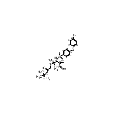 CC(C)(C)OC(=O)CSC(C)(C)C(NS(=O)(=O)c1ccc(Oc2ccc(F)cc2)cc1)C(=O)NO